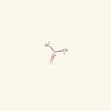 N#C[PH](=O)C#N